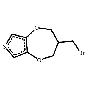 BrCC1COc2cscc2OC1